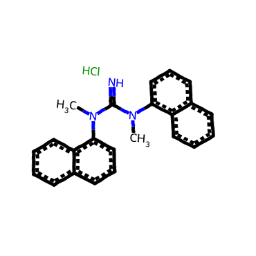 CN(C(=N)N(C)c1cccc2ccccc12)c1cccc2ccccc12.Cl